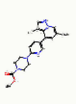 COc1cc(-c2ccc(N3CCN(C(=O)OC(C)(C)C)CC3)nc2)c2c(C#N)cnn2c1